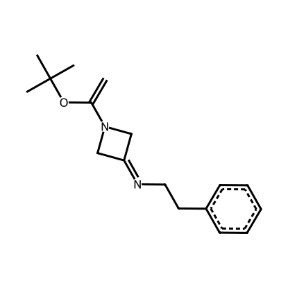 C=C(OC(C)(C)C)N1CC(=NCCc2ccccc2)C1